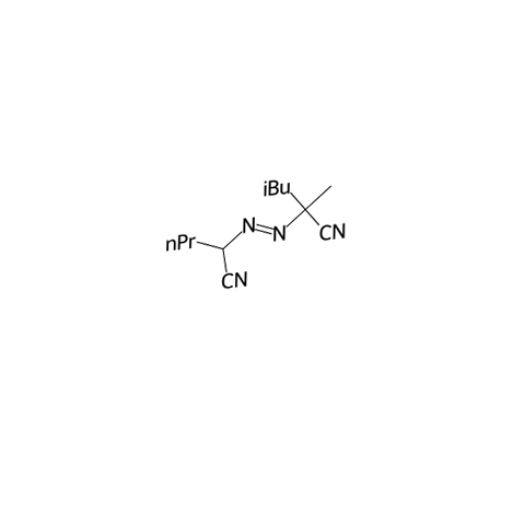 CCCC(C#N)N=NC(C)(C#N)C(C)CC